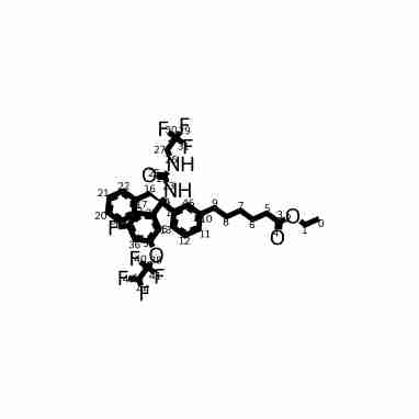 CCOC(=O)CCCCCc1cccc([C@@](Cc2ccccc2)(NC(=O)NCC(F)(F)F)c2cc(F)cc(OC(F)(F)C(F)F)c2)c1